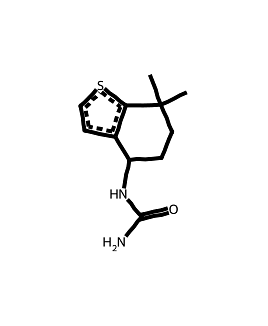 CC1(C)CCC(NC(N)=O)c2ccsc21